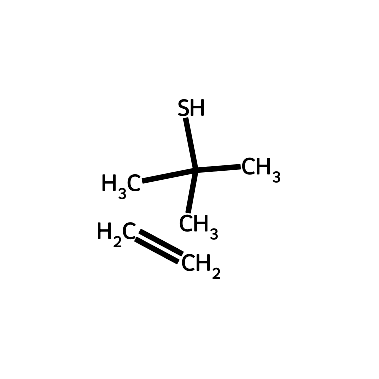 C=C.CC(C)(C)S